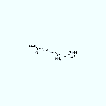 CNC(=O)CCOCCC(N)CCc1cc[nH]n1